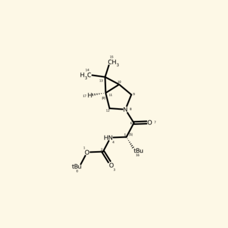 CC(C)(C)OC(=O)N[C@H](C(=O)N1CC2[C@@H](C1)C2(C)C)C(C)(C)C